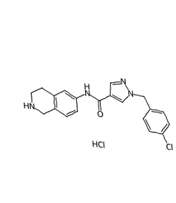 Cl.O=C(Nc1ccc2c(c1)CCNC2)c1cnn(Cc2ccc(Cl)cc2)c1